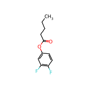 CCCCC(=O)Oc1ccc(F)c(F)c1